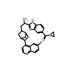 CC(CC1CC2CC1CC2c1ccnc2ccc(F)cc12)c1nc2cc(C(=O)N3CC3)ccc2[nH]1